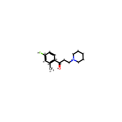 O=C(CCN1CCCCC1)c1ccc(F)cc1C(F)(F)F